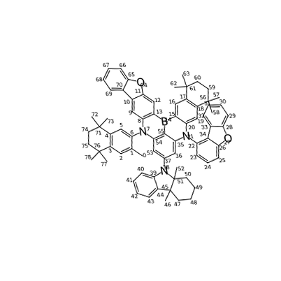 Cc1cc2c(cc1N1c3cc4c(cc3B3c5cc6c(cc5N(c5cccc7oc8ccccc8c57)c5cc(N7c8ccccc8C8(C)CCCCC78C)cc1c53)C(C)(C)CCC6(C)C)oc1ccccc14)C(C)(C)CCC2(C)C